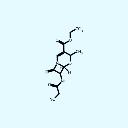 CC1S[C@@H]2C(NC(=O)CC#N)C(=O)N2C=C1C(=O)OCC(Cl)(Cl)Cl